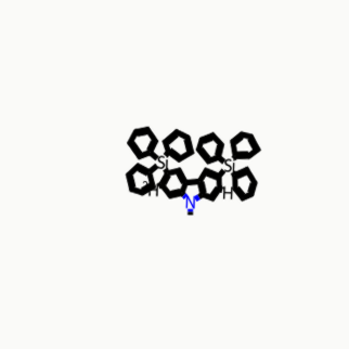 [2H]c1cc2c(cc1[Si](c1ccccc1)(c1ccccc1)c1ccccc1)c1cc([Si](c3ccccc3)(c3ccccc3)c3ccccc3)c([2H])cc1n2C